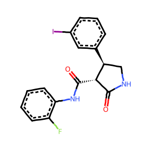 O=C1NC[C@H](c2cccc(I)c2)[C@H]1C(=O)Nc1ccccc1F